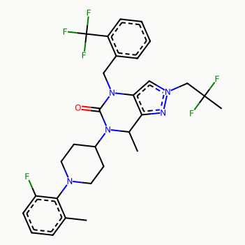 Cc1cccc(F)c1N1CCC(N2C(=O)N(Cc3ccccc3C(F)(F)F)c3cn(CC(C)(F)F)nc3C2C)CC1